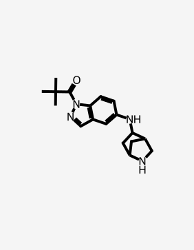 CC(C)(C)C(=O)n1ncc2cc(NC3CC4CC3CN4)ccc21